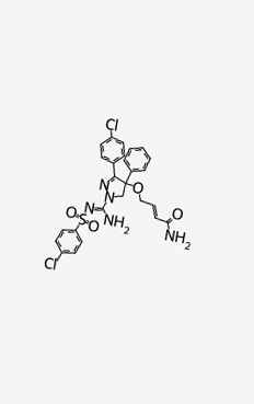 NC(=O)/C=C/COC1(c2ccccc2)CN(/C(N)=N/S(=O)(=O)c2ccc(Cl)cc2)N=C1c1ccc(Cl)cc1